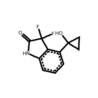 O=C1Nc2cccc(C3(O)CC3)c2C1(F)F